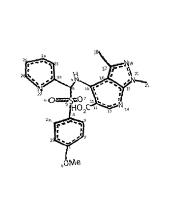 COc1ccc(S(=O)(=O)C(Nc2c(C(=O)O)cnc3c2c(C)nn3C)c2ccccn2)cc1